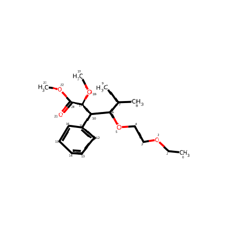 CCOCCOC(C(C)C)C(c1ccccc1)C(OC)C(=O)OC